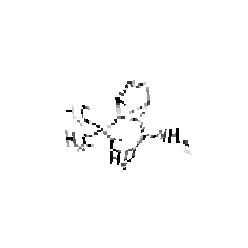 CC(C)(C)C1C2C=CC(C2)C1C(N)=O